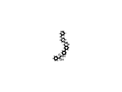 O=C(Nc1ccc(-c2ccc3c(c2)CN(N2CCN(Cc4cccnc4)CC2)C=N3)cc1)C(O)c1ccccc1